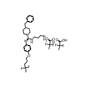 NCCCN/C(=N\c1ccc(OCCCC(F)(F)F)cc1)N1CCC(Cc2ccccc2)CC1.O=C(O)C(F)(F)F.O=C(O)C(F)(F)F